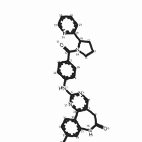 O=C1Cc2cnc(Nc3ccc(C(=O)N4CCCC4c4ccccn4)cc3)nc2-c2ccc(Cl)cc2N1